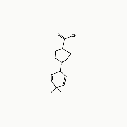 CC1(F)C=CC(N2CCC(C(=O)O)CC2)C=C1